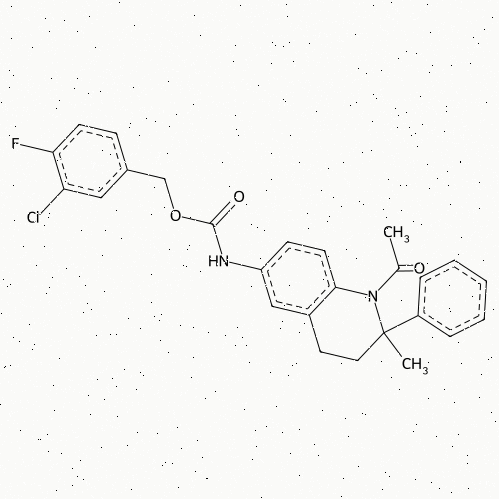 CC(=O)N1c2ccc(NC(=O)OCc3ccc(F)c(Cl)c3)cc2CCC1(C)c1ccccc1